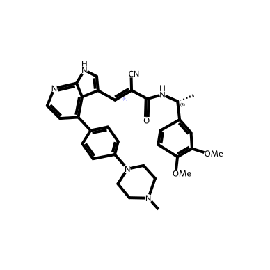 COc1ccc([C@@H](C)NC(=O)/C(C#N)=C/c2c[nH]c3nccc(-c4ccc(N5CCN(C)CC5)cc4)c23)cc1OC